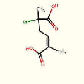 CC(=CCC(C)(Br)C(=O)O)C(=O)O